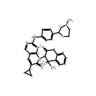 CN1CCOC(c2ccc(Nc3ncc4cc(C5CC5)c(=O)n(C5C(=O)Cc6ccccc6C5(C)C)c4n3)cc2)C1